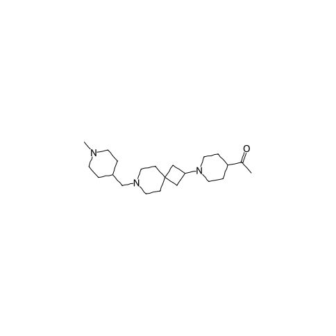 CC(=O)C1CCN(C2CC3(CCN(CC4CCN(C)CC4)CC3)C2)CC1